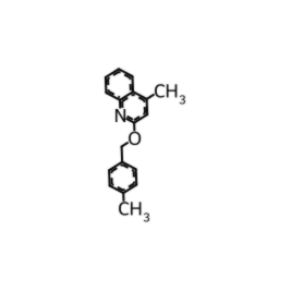 Cc1ccc(COc2cc(C)c3ccccc3n2)cc1